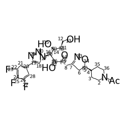 CC(=O)N1CCC([C@H]2CC(C[C@H]3O[C@H](CO)[C@H](O)[C@H](n4cc(-c5cc(F)c(F)c(F)c5)nn4)[C@H]3O)=NO2)CC1